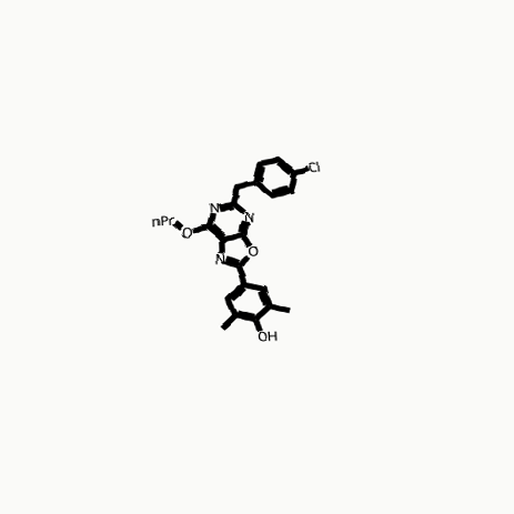 CCCOc1nc(Cc2ccc(Cl)cc2)nc2oc(-c3cc(C)c(O)c(C)c3)nc12